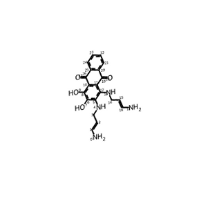 NC=CCNc1c(O)c(O)c2c(c1NCC=CN)C(=O)c1ccccc1C2=O